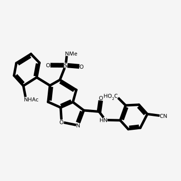 CNS(=O)(=O)c1cc2c(C(=O)Nc3ccc(C#N)cc3C(=O)O)noc2cc1-c1ccccc1NC(C)=O